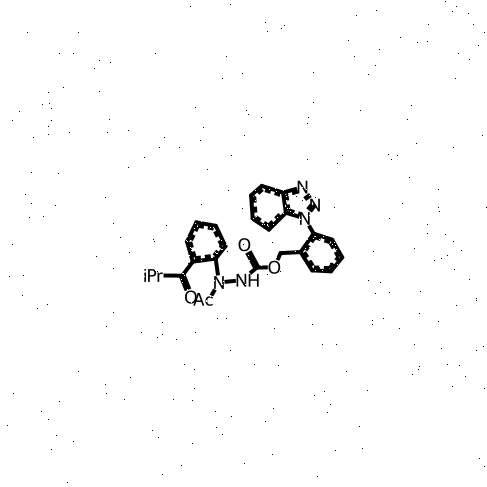 CC(=O)N(NC(=O)OCc1ccccc1-n1nnc2ccccc21)c1ccccc1C(=O)C(C)C